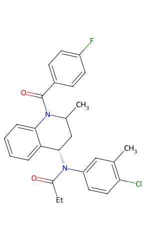 CCC(=O)N(c1ccc(Cl)c(C)c1)[C@H]1CC(C)N(C(=O)c2ccc(F)cc2)c2ccccc21